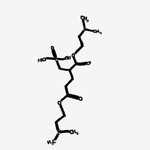 CN(C)CCOC(=O)CCC(CP(=O)(O)O)C(=O)OCCN(C)C